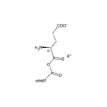 CCCCCCCC(=O)OC(=O)[C@@H](N)CCC(=O)[O-].[K+]